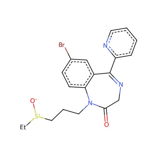 CC[S+]([O-])CCCN1C(=O)CN=C(c2ccccn2)c2cc(Br)ccc21